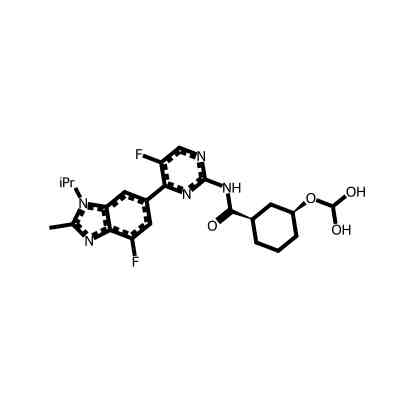 Cc1nc2c(F)cc(-c3nc(NC(=O)[C@@H]4CCC[C@H](OC(O)O)C4)ncc3F)cc2n1C(C)C